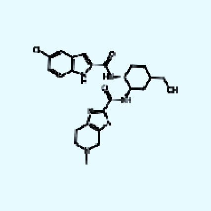 CN1CCc2nc(C(=O)N[C@@H]3CC(CO)CC[C@@H]3NC(=O)c3cc4cc(Cl)ccc4[nH]3)sc2C1